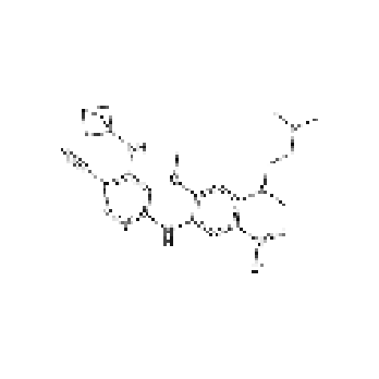 COc1cc(N(C)CCN(C)C)c([N+](=O)[O-])cc1Nc1cc(NC23CC(C2)C3)c(C#N)cn1